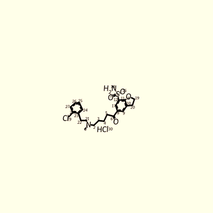 CN(CCCCC(=O)c1cc2c(c(S(N)(=O)=O)c1)OCC2)CCc1ccccc1Cl.Cl